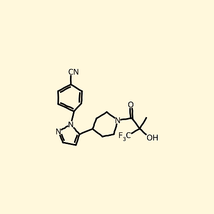 CC(O)(C(=O)N1CCC(c2ccnn2-c2ccc(C#N)cc2)CC1)C(F)(F)F